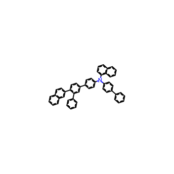 c1ccc(-c2ccc(N(c3ccc(-c4ccc(-c5ccc6ccccc6c5)c(-c5ccccc5)c4)cc3)c3cccc4ccccc34)cc2)cc1